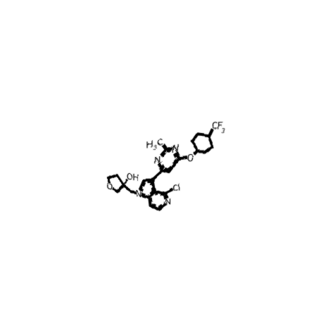 Cc1nc(OC2CCC(C(F)(F)F)CC2)cc(-c2cn(C[C@@]3(O)CCOC3)c3ccnc(Cl)c23)n1